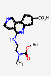 CN(CCNc1nc2cc(C(=O)O)ccc2c2cnccc12)C(=O)OC(C)(C)C